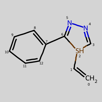 C=C[SH]1C=NN=C1c1ccccc1